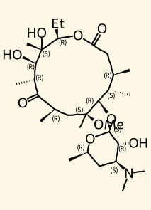 CC[C@H]1OC(=O)C[C@@H](C)[C@H](C)[C@@H](O[C@@H]2O[C@H](C)C[C@H](N(C)C)[C@H]2O)[C@@](C)(OC)C[C@@H](C)C(=O)[C@H](C)[C@@H](O)[C@]1(C)O